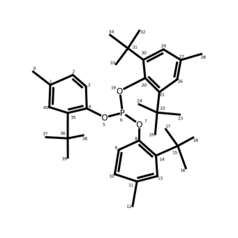 Cc1ccc(OP(Oc2ccc(C)cc2C(C)(C)C)Oc2c(C(C)(C)C)cc(C)cc2C(C)(C)C)c(C(C)(C)C)c1